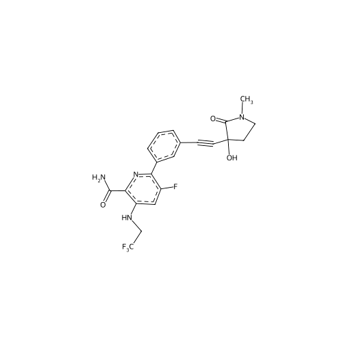 CN1CCC(O)(C#Cc2cccc(-c3nc(C(N)=O)c(NCC(F)(F)F)cc3F)c2)C1=O